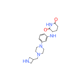 O=C1CC[C@H](Nc2cccc(N3CCN(CC4CNC4)CC3)c2)C(=O)N1